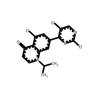 CC(C)n1ccc(=O)c2c(Cl)cc(-c3nc(Cl)ncc3Cl)cc21